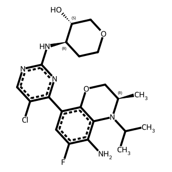 CC(C)N1c2c(N)c(F)cc(-c3nc(N[C@@H]4CCOC[C@H]4O)ncc3Cl)c2OC[C@H]1C